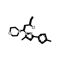 C=C=C(Cl)/C=C(/N1CCOCC1)n1nc(-c2ccc(C)cc2)cc1C